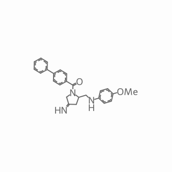 COc1ccc(NCC2CC(=N)CN2C(=O)c2ccc(-c3ccccc3)cc2)cc1